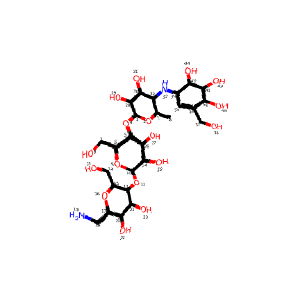 CC1OC(OC2C(CO)OC(OC3C(CO)OC(CN)C(O)C3O)C(O)C2O)C(O)C(O)C1NC1C=C(CO)C(O)C(O)C1O